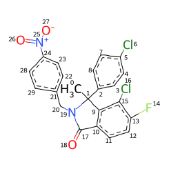 CC1(c2ccc(Cl)cc2)c2c(ccc(F)c2Cl)C(=O)N1Cc1ccc([N+](=O)[O-])cc1